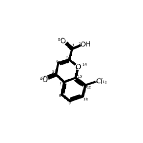 O=C(O)c1cc(=O)c2cccc(Cl)c2o1